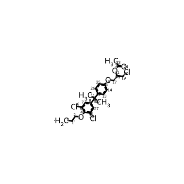 [CH2][CH]COc1c(Cl)cc(C(C)(C)c2ccc(OC[C@H](CCl)OC(C)=O)cc2)cc1Cl